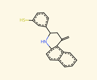 C=C1CC(c2cccc(S)c2)Nc2ccc3ccccc3c21